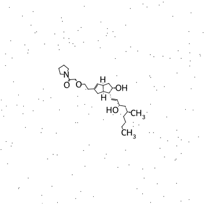 CCCC[C@H](C)C[C@H](O)/C=C/[C@@H]1[C@H]2CC(CCOCC(=O)N3CCCC3)=C[C@H]2C[C@H]1O